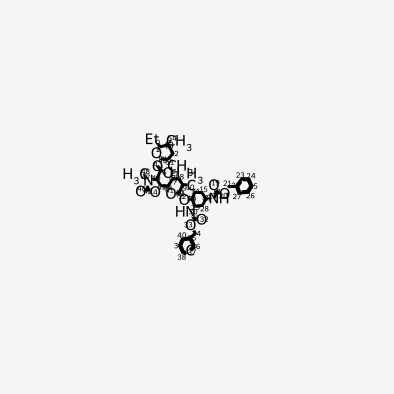 CCC1O[C@H](OC2O[C@H]3CC(C)[C@@H](O[C@H]4CC[C@H](NC(=O)OCc5ccccc5)CC4NC(=O)OCc4ccccc4)OC3C3OC(=O)N(C)C23)C(C)C[C@@H]1C